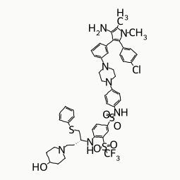 Cc1c(N)c(-c2cccc(N3CCN(c4ccc(NS(=O)(=O)c5ccc(N[C@H](CCN6CCC(O)CC6)CSc6ccccc6)c(S(=O)(=O)C(F)(F)F)c5)cc4)CC3)c2)c(-c2ccc(Cl)cc2)n1C